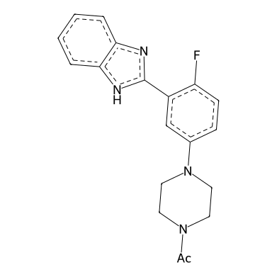 CC(=O)N1CCN(c2ccc(F)c(-c3nc4ccccc4[nH]3)c2)CC1